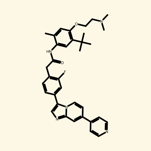 Cc1cc(OCCN(C)C)c(C(C)(C)C)cc1NC(=O)Cc1ccc(-c2cnc3cc(-c4ccncc4)ccn23)cc1F